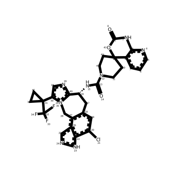 O=C1Nc2ncccc2C2(CCN(C(=O)N[C@@H]3Cc4cc(Cl)c5[nH]ncc5c4Cn4c(C5(C(F)(F)F)CC5)cnc43)CC2)O1